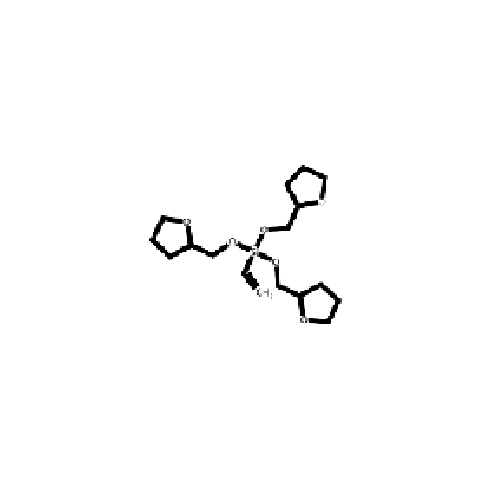 C=C[Si](OCC1CCCO1)(OCC1CCCO1)OCC1CCCO1